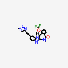 CN1C(=O)c2cccc(OC(F)F)c2[C@H]2CC1c1nc3ccc(C#Cc4cn(C)nn4)cc3n12